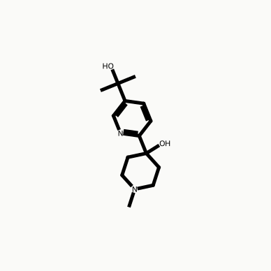 CN1CCC(O)(c2ccc(C(C)(C)O)cn2)CC1